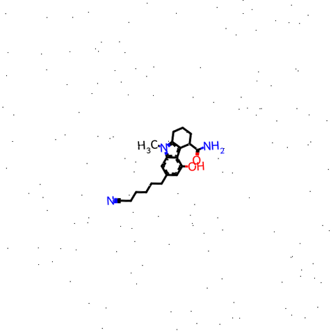 Cn1c2c(c3c(O)cc(CCCCCC#N)cc31)C(C(N)=O)CCC2